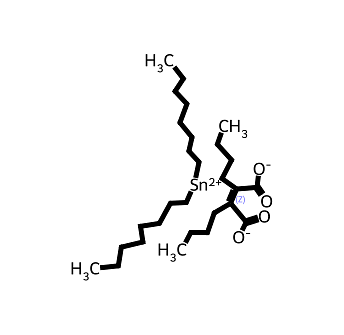 CCCC/C(C(=O)[O-])=C(\CCCC)C(=O)[O-].CCCCCCC[CH2][Sn+2][CH2]CCCCCCC